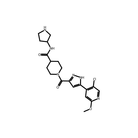 COc1cc(-c2cc(C(=O)N3CCC(C(=O)NC4CCNC4)CC3)n[nH]2)c(Cl)cn1